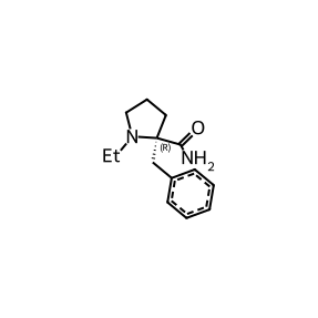 CCN1CCC[C@@]1(Cc1ccccc1)C(N)=O